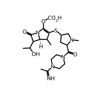 CC(=N)N1CCN(C(=O)C2CC(SC3=C(OC(=O)O)N4C(=O)C(C(C)O)[C@@H]4C3C)CN2C)CC1